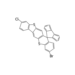 Clc1ccc2c(c1)sc1cc3c(cc12)Sc1cc(Br)ccc1C31c2ccccc2-c2ccccc21